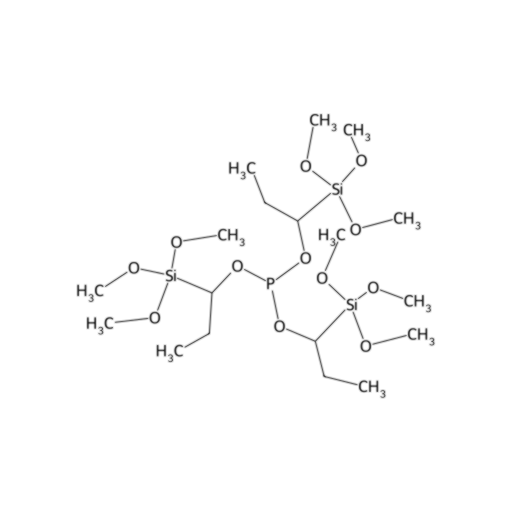 CCC(OP(OC(CC)[Si](OC)(OC)OC)OC(CC)[Si](OC)(OC)OC)[Si](OC)(OC)OC